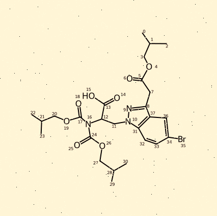 CC(C)COC(=O)Cc1nn(CC(C(=O)O)N(C(=O)OCC(C)C)C(=O)OCC(C)C)c2ccc(Br)cc12